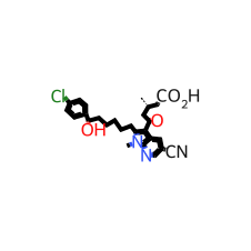 C[C@H](CC(=O)O)CC(=O)c1c(CCCCCC(O)c2ccc(Cl)cc2)n(C)c2ncc(C#N)cc12